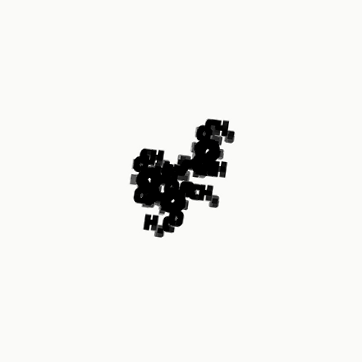 COc1cc(OC)cc(-c2coc3cc(OC)cc(C(=O)NCCc4c[nH]c5ccc(OC)cc45)c23)c1